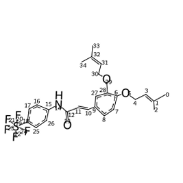 CC(C)=CCOc1ccc(C=CC(=O)Nc2ccc(S(F)(F)(F)(F)F)cc2)cc1OCC=C(C)C